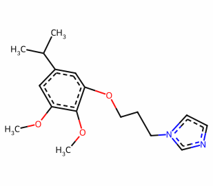 COc1cc(C(C)C)cc(OCCCn2ccnc2)c1OC